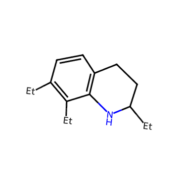 CCc1ccc2c(c1CC)NC(CC)CC2